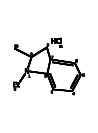 CCN1c2ccccc2CC1C.Cl